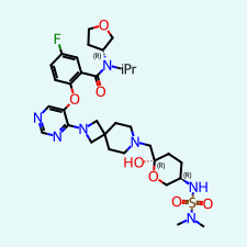 CC(C)N(C(=O)c1cc(F)ccc1Oc1cncnc1N1CC2(CCN(C[C@@]3(O)CC[C@@H](NS(=O)(=O)N(C)C)CO3)CC2)C1)[C@@H]1CCOC1